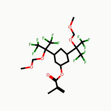 C=C(C)C(=O)OC1CC(C(OCOC)(C(F)(F)F)C(F)(F)F)CC(C(OCOC)(C(F)(F)F)C(F)(F)F)C1